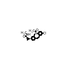 CNC(=O)[C@@H]1C[C@H]1c1ccc2c(c1)CN(C(C)=O)c1ccc(Cl)cc1C=C2